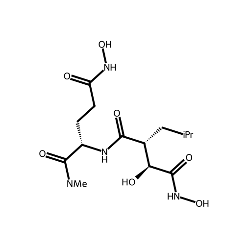 CNC(=O)[C@H](CCC(=O)NO)NC(=O)[C@H](CC(C)C)[C@H](O)C(=O)NO